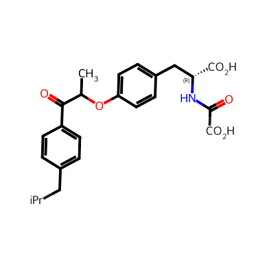 CC(C)Cc1ccc(C(=O)C(C)Oc2ccc(C[C@@H](NC(=O)C(=O)O)C(=O)O)cc2)cc1